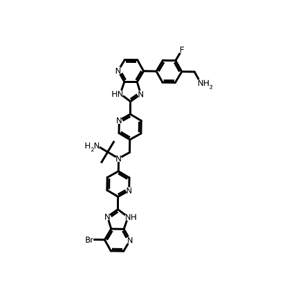 CC(C)(N)N(Cc1ccc(-c2nc3c(-c4ccc(CN)c(F)c4)ccnc3[nH]2)nc1)c1ccc(-c2nc3c(Br)ccnc3[nH]2)nc1